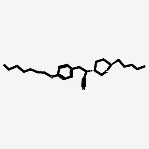 CCCCCCCOc1ccc(CC(C#N)[C@H]2CC[C@H](CCCCC)CC2)cc1